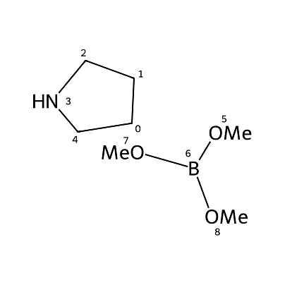 C1CCNC1.COB(OC)OC